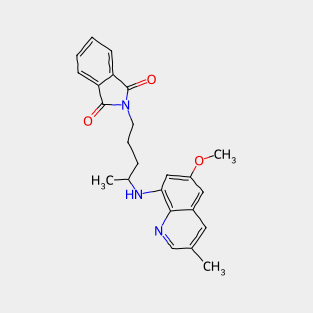 COc1cc(NC(C)CCCN2C(=O)c3ccccc3C2=O)c2ncc(C)cc2c1